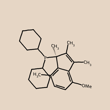 COc1ccc(C)c2c1C(C)=C(C)[C@]2(C)P(C1CCCCC1)C1CCCCC1